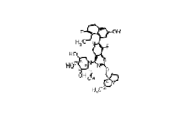 CCc1c(F)ccc2cc(O)cc(-c3ncc4c(N5C[C@H](O)[C@@H](O)[C@H](O)[C@H]5CO)nc(OC[C@@]56CCCN5C[C@H](C)C6)nc4c3F)c12